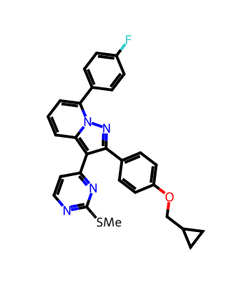 CSc1nccc(-c2c(-c3ccc(OCC4CC4)cc3)nn3c(-c4ccc(F)cc4)cccc23)n1